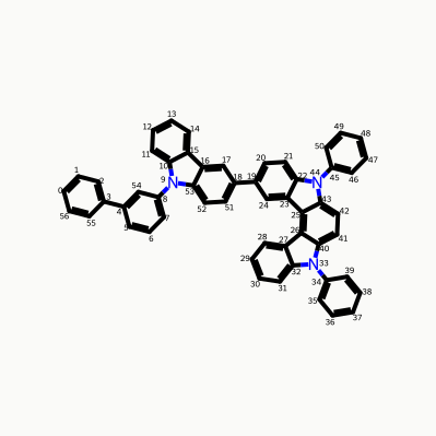 c1ccc(-c2cccc(-n3c4ccccc4c4cc(-c5ccc6c(c5)c5c7c8ccccc8n(-c8ccccc8)c7ccc5n6-c5ccccc5)ccc43)c2)cc1